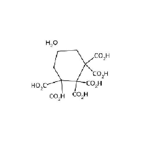 O.O=C(O)C1(C(=O)O)CCCC(C(=O)O)(C(=O)O)C1(C(=O)O)C(=O)O